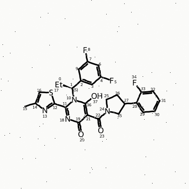 CC[C@@H](c1cc(F)cc(F)c1)n1c(-c2nc(C)cs2)nc(=O)c(C(=O)N2CCC(c3ccccc3F)C2)c1O